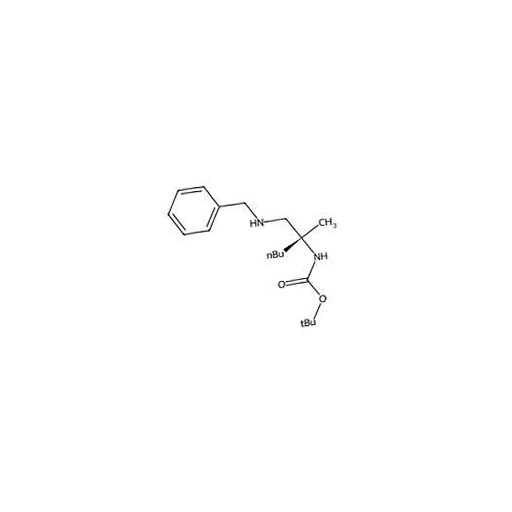 CCCC[C@](C)(CNCc1ccccc1)NC(=O)OC(C)(C)C